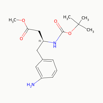 COC(=O)C[C@H](Cc1cccc(N)c1)NC(=O)OC(C)(C)C